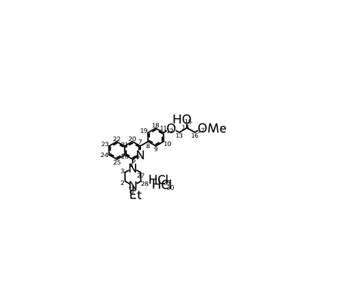 CCN1CCN(c2nc(-c3ccc(OCC(O)COC)cc3)cc3ccccc23)CC1.Cl.Cl